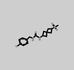 CS(=O)(=O)C1CC2(CC(NC(=O)NCc3ccc(Cl)cc3)C2)C1